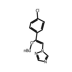 CCCCO/C(=C\n1cncn1)c1ccc(Cl)cc1